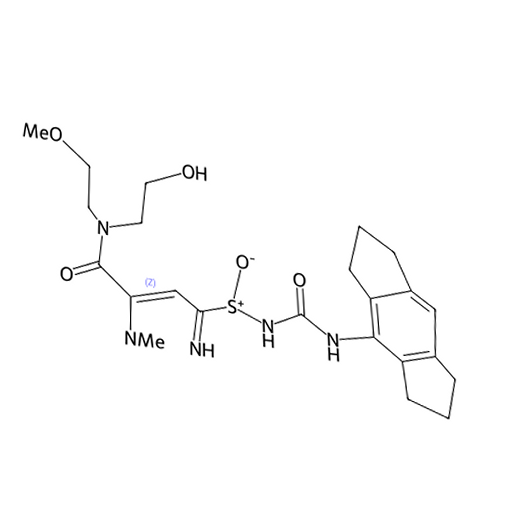 CN/C(=C\C(=N)[S+]([O-])NC(=O)Nc1c2c(cc3c1CCC3)CCC2)C(=O)N(CCO)CCOC